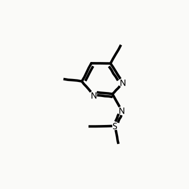 Cc1cc(C)nc(N=S(C)C)n1